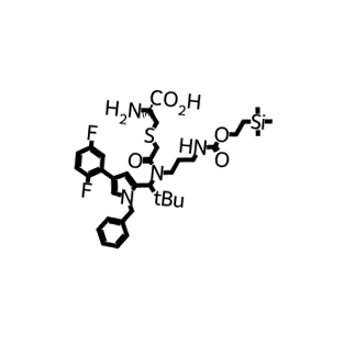 CC(C)(C)C(c1cc(-c2cc(F)ccc2F)cn1Cc1ccccc1)N(CCCNC(=O)OCC[Si](C)(C)C)C(=O)CSC[C@H](N)C(=O)O